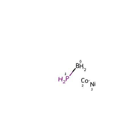 BP.[Co].[Ni]